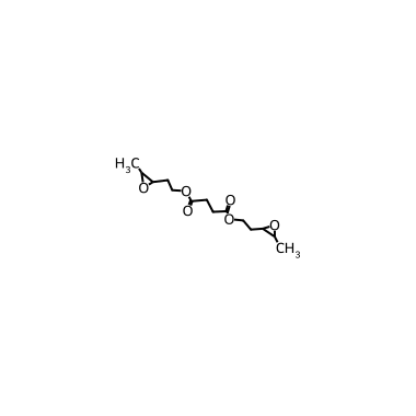 CC1OC1CCOC(=O)CCC(=O)OCCC1OC1C